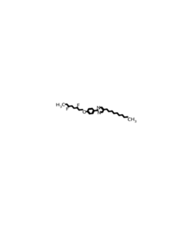 CCCCCCCCCCc1cnc(-c2ccc(OCCC(F)CCC(F)CC)cc2)nc1